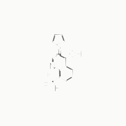 Oc1c([SH]2C=CC=C2)cnc2c(C(F)(F)F)cccc12